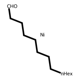 CCCCCCCCCCCCCC=O.[Ni]